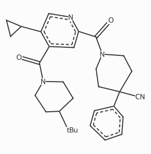 CC(C)(C)C1CCN(C(=O)c2cc(C(=O)N3CCC(C#N)(c4ccccc4)CC3)ncc2C2CC2)CC1